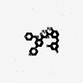 Nc1ccc(Cc2cc(F)cc(F)c2)cc1C(N)NC(=O)c1ccc(N2CCNCC2)cc1NC1CCOCC1